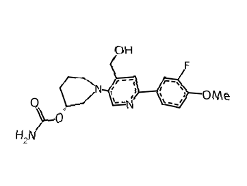 COc1ccc(-c2cc(CO)c(N3CCC[C@@H](OC(N)=O)C3)cn2)cc1F